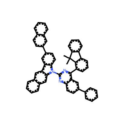 CC1(C)c2ccccc2-c2cccc(-c3nc(-n4c5ccc(-c6ccc7ccccc7c6)cc5c5cc6ccccc6cc54)nc4ccc(-c5ccccc5)cc34)c21